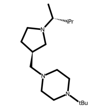 CC(C)[C@@H](C)N1CC[C@H](CN2CCN(C(C)(C)C)CC2)C1